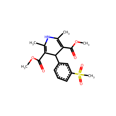 COC(=O)C1=C(C)NC(C)=C(C(=O)OC)C1c1cccc(S(C)(=O)=O)c1